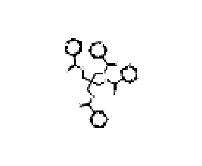 O=C(OCC(COC(=O)c1cccnc1)(COC(=O)c1cccnc1)COC(=O)c1cccnc1)c1cccnc1